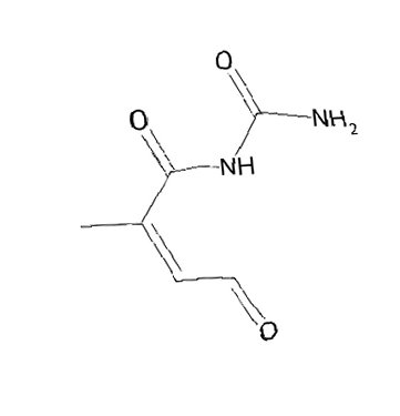 CC(=CC=O)C(=O)NC(N)=O